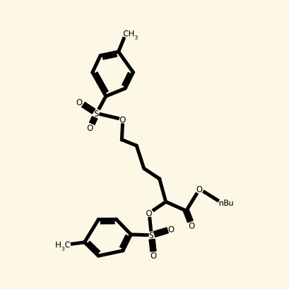 CCCCOC(=O)C(CCCCOS(=O)(=O)c1ccc(C)cc1)OS(=O)(=O)c1ccc(C)cc1